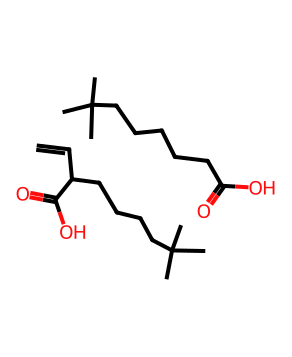 C=CC(CCCCC(C)(C)C)C(=O)O.CC(C)(C)CCCCCC(=O)O